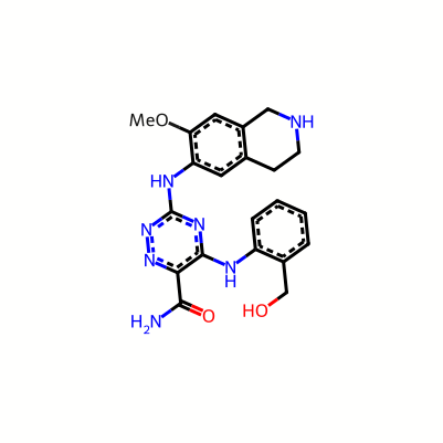 COc1cc2c(cc1Nc1nnc(C(N)=O)c(Nc3ccccc3CO)n1)CCNC2